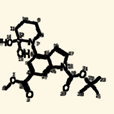 COC(=O)c1cc(N2CCCCS2(O)O)c2ccn(C(=O)OC(C)(C)C)c2c1